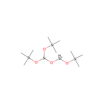 C[Si](C)(C)O[SiH2]O[Si](O[Si](C)(C)C)O[Si](C)(C)C